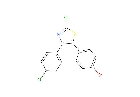 Clc1ccc(-c2nc(Cl)sc2-c2ccc(Br)cc2)cc1